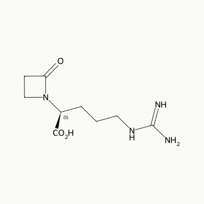 N=C(N)NCCC[C@@H](C(=O)O)N1CCC1=O